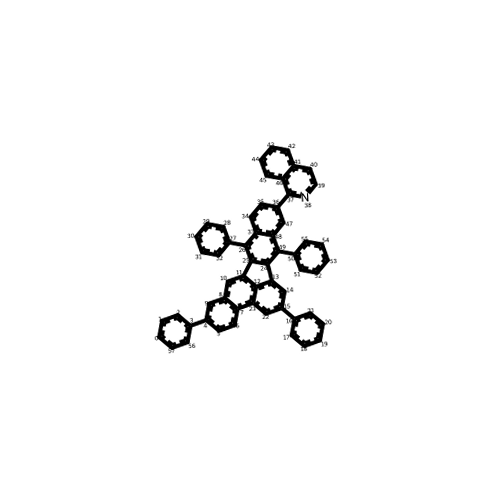 c1ccc(-c2ccc3c(c2)cc2c4c(cc(-c5ccccc5)cc43)-c3c-2c(-c2ccccc2)c2ccc(-c4nccc5ccccc45)cc2c3-c2ccccc2)cc1